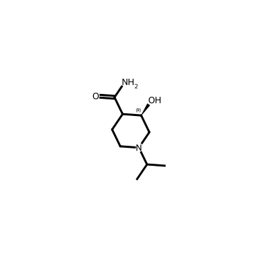 CC(C)N1CCC(C(N)=O)[C@@H](O)C1